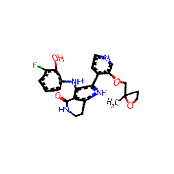 CC1(COc2cnccc2-c2[nH]c3c(c2Nc2cccc(F)c2O)C(=O)NCC3)CCO1